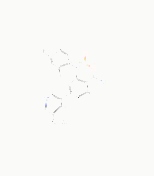 CC(=O)Nc1cncc(-c2ccc(CN)c(N(c3ccc(C)cc3C)[SH](=O)=O)c2)c1